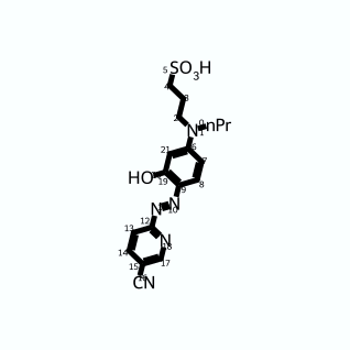 CCCN(CCCS(=O)(=O)O)c1ccc(N=Nc2ccc(C#N)cn2)c(O)c1